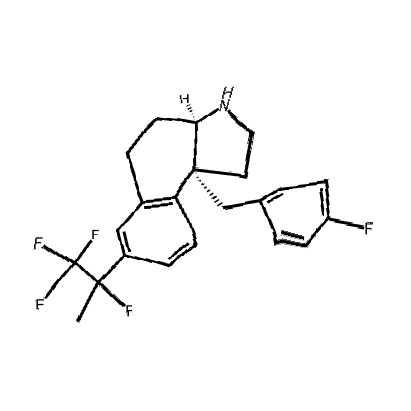 CC(F)(c1ccc2c(c1)CC[C@H]1NCC[C@@]21Cc1ccc(F)cc1)C(F)(F)F